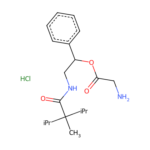 CC(C)C(C)(C(=O)NCC(OC(=O)CN)c1ccccc1)C(C)C.Cl